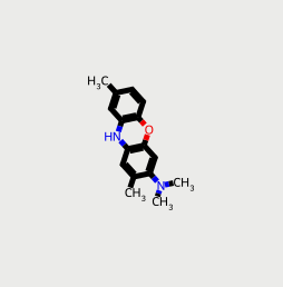 Cc1ccc2c(c1)Nc1cc(C)c(N(C)C)cc1O2